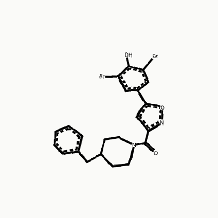 O=C(c1cc(-c2cc(Br)c(O)c(Br)c2)on1)N1CCC(Cc2ccccc2)CC1